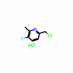 Cc1nc(CCl)ccc1F.Cl